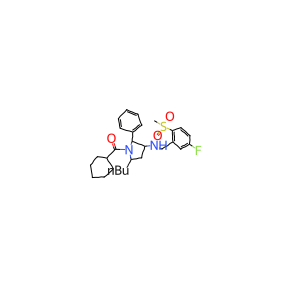 CCCCC1CC(NCc2cc(F)ccc2S(C)(=O)=O)C(c2ccccc2)N1C(=O)C1CCCCC1